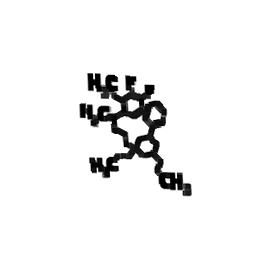 C=C(CCCC1(CCC)CC(CCC)CC(c2ccccc2)C1)c1ccc(F)c(F)c1CC